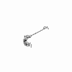 CCCCCCCCCCCCCCCCOCC(O)COP1(=O)OC2CC[N+](C)(C)C2O1